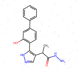 CC(C(=O)NN)c1cn[nH]c1-c1ccc(-c2ccccc2)cc1O